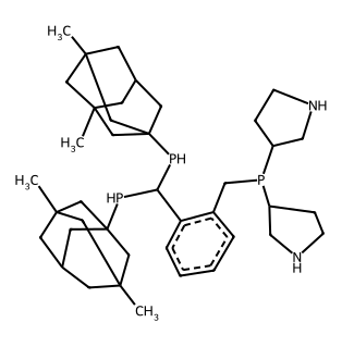 CC12CC3CC(C)(C1)CC(PC(PC14CC5CC(C)(CC(C)(C5)C1)C4)c1ccccc1CP(C1CCNC1)C1CCNC1)(C3)C2